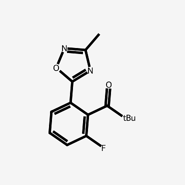 Cc1noc(-c2cccc(F)c2C(=O)C(C)(C)C)n1